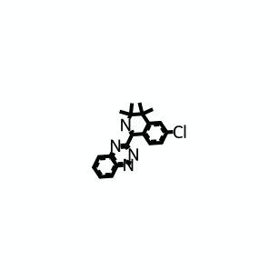 CC1(C)N=C(c2nnc3ccccc3n2)c2ccc(Cl)cc2C1(C)C